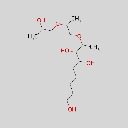 CC(O)COC(C)COC(C)C(O)C(O)CCCCCO